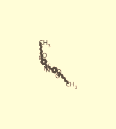 CCCCC=CC(=O)Oc1ccc(-c2nnc(-c3ccc(OC(=O)C=CCCCC)cc3)s2)cc1